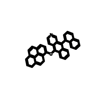 C1=Cc2ccc3ccc(Oc4c5ccccc5c(-c5cccc6ccccc56)c5cnccc45)c4c3c2C(=CC4)C1